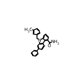 Cc1cccc(Cn2c3cc(-c4ccccc4)c[c]c3c3c(C(N)=O)cccc32)c1